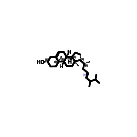 CC(C)C(C)/C=C/C[C@@H](C)[C@H]1CC[C@H]2[C@@H]3CC=C4C[C@@H](O)CC[C@]4(C)[C@H]3CC[C@]12C